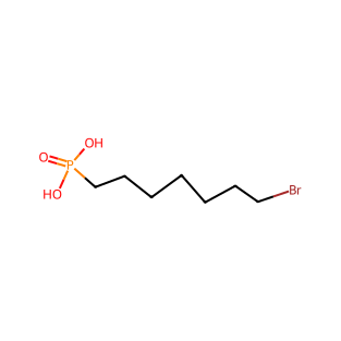 O=P(O)(O)CCCCCCCBr